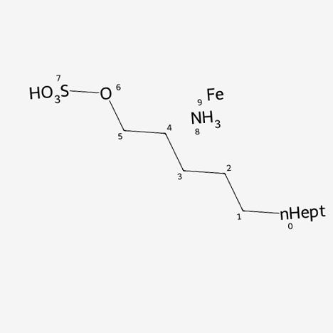 CCCCCCCCCCCCOS(=O)(=O)O.N.[Fe]